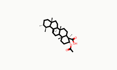 CC(=O)O[C@@H]1CC[C@@]2(C)C(CC[C@]3(C)C2CC=C2C4[C@@H](C)[C@H](C)CC[C@]4(C)CC[C@]23C)[C@@]1(C)C(=O)O